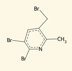 Cc1nc(Br)c(Br)cc1CBr